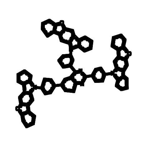 c1cc(-c2nc(-c3ccc(-n4c5ccccc5c5cc6oc7ccccc7c6cc54)cc3)nc3ccc(-c4ccc(-n5c6ccccc6c6cc7oc8ccccc8c7cc65)cc4)cc23)cc(-n2c3ccccc3c3cc4oc5ccccc5c4cc32)c1